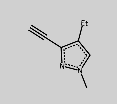 C#Cc1nn(C)cc1CC